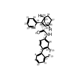 O=C(Nc1ccc(-c2ccccc2F)c(F)c1)[C@@H]1[C@@H](c2ccccn2)[C@@H]2CC[C@H]1O2